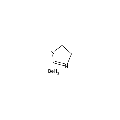 [BeH2].[C]1=NCCS1